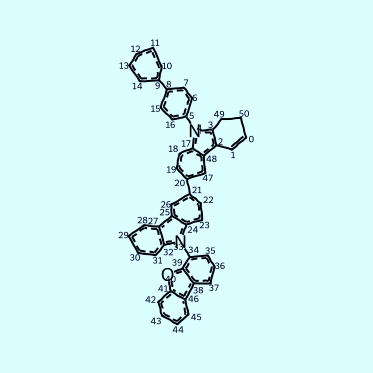 C1=Cc2c(n(-c3ccc(-c4ccccc4)cc3)c3ccc(-c4ccc5c(c4)c4ccccc4n5-c4cccc5c4oc4ccccc45)cc23)CC1